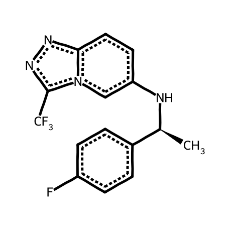 C[C@H](Nc1ccc2nnc(C(F)(F)F)n2c1)c1ccc(F)cc1